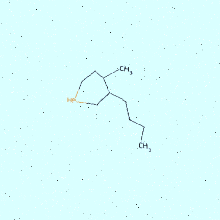 CCCCC1CPCCC1C